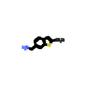 CCOC(=O)c1cc2ccc(CN)cc2s1